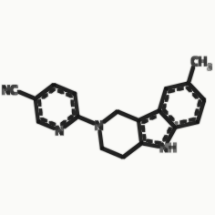 Cc1ccc2[nH]c3c(c2c1)CN(c1ccc(C#N)cn1)CC3